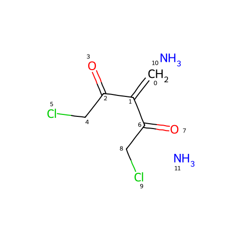 C=C(C(=O)CCl)C(=O)CCl.N.N